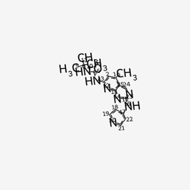 Cc1cc(NC(=O)NC(C)(C)C)nc2nc(Nc3ccncc3)ncc12